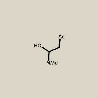 CNC(O)CC(C)=O